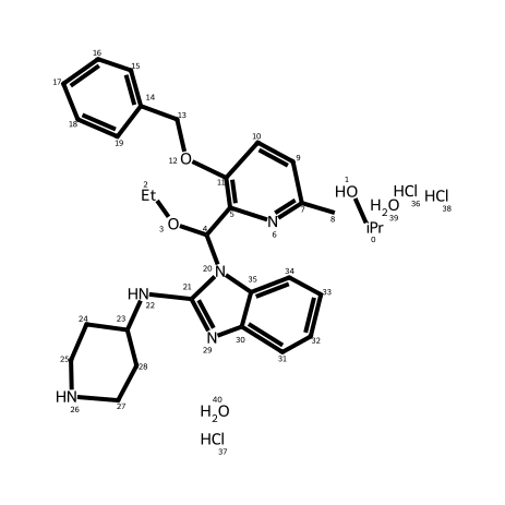 CC(C)O.CCOC(c1nc(C)ccc1OCc1ccccc1)n1c(NC2CCNCC2)nc2ccccc21.Cl.Cl.Cl.O.O